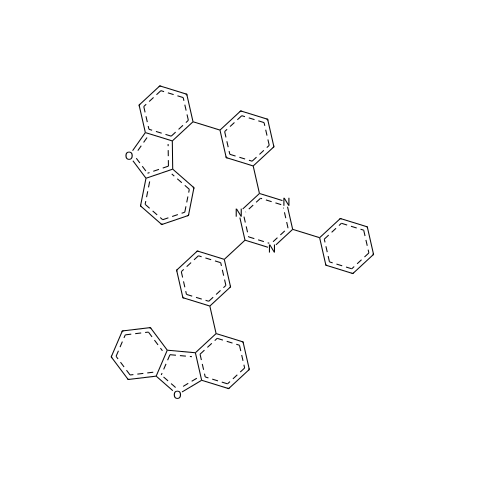 c1ccc(-c2nc(-c3cccc(-c4cccc5oc6ccccc6c45)c3)nc(-c3cccc(-c4cccc5oc6ccccc6c45)c3)n2)cc1